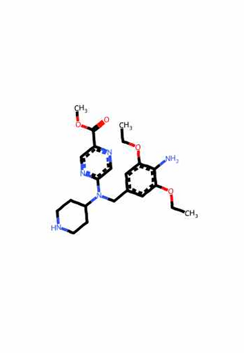 CCOc1cc(CN(c2cnc(C(=O)OC)cn2)C2CCNCC2)cc(OCC)c1N